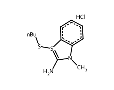 CCCCSS1=C(N)N(C)c2ccccc21.Cl